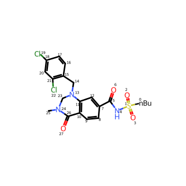 CCCCS(=O)(=O)NC(=O)c1ccc2c(c1)N(Cc1ccc(Cl)cc1Cl)CN(C)C2=O